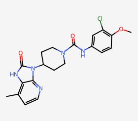 COc1ccc(NC(=O)N2CCC(n3c(=O)[nH]c4c(C)ccnc43)CC2)cc1Cl